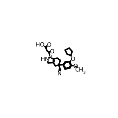 COc1ccc(C2(C#N)CCC3=C(CNN3C(=O)CC(=O)O)C2)cc1OC1CCCC1